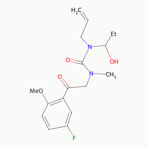 C=CCN(C(=O)N(C)CC(=O)c1cc(F)ccc1OC)C(O)CC